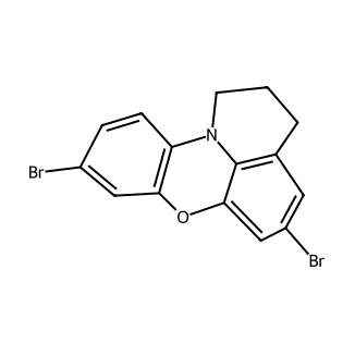 Brc1ccc2c(c1)Oc1cc(Br)cc3c1N2CCC3